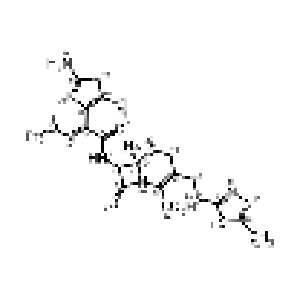 CCON=C(C(=O)NC1C(=O)N2C(C(=O)O)=C(CSc3nnc(C)s3)CS[C@@H]12)c1nc(N)sc1Cl